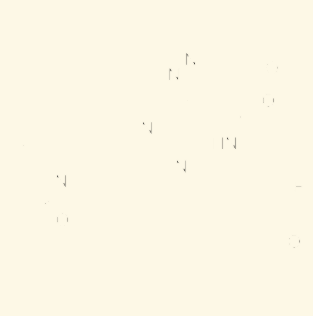 COCc1nn(Cc2ccc(Cn3ccccc3=O)cn2)cc1C(=O)NCc1c(C#N)ccc(OC)c1F